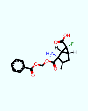 C[C@@H]1C[C@@H]2[C@H]([C@]1(N)C(=O)OCOC(=O)c1ccccc1)[C@@]2(F)C(=O)O